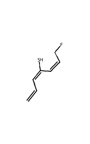 C=C/C=C(S)\C=C/CF